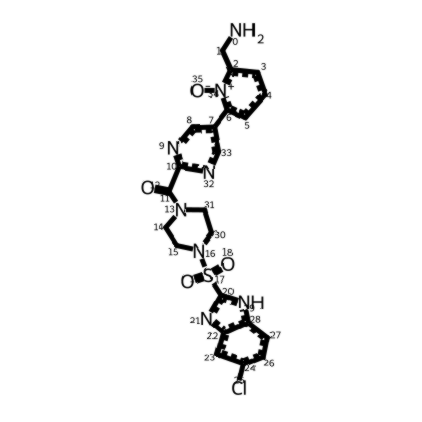 NCc1cccc(-c2cnc(C(=O)N3CCN(S(=O)(=O)c4nc5cc(Cl)ccc5[nH]4)CC3)nc2)[n+]1[O-]